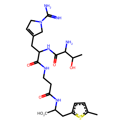 Cc1ccc(CC(NC(=O)CCNC(=O)C(CC2=CCN(C(=N)N)C2)NC(=O)C(N)C(C)O)C(=O)O)s1